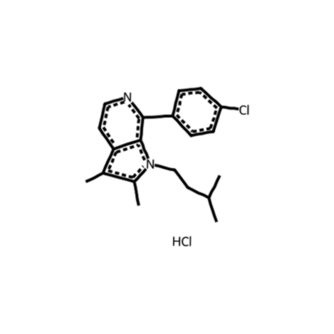 Cc1c(C)n(CCC(C)C)c2c(-c3ccc(Cl)cc3)nccc12.Cl